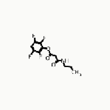 CCCNC(=O)CC(=O)Oc1c(F)c(F)cc(F)c1F